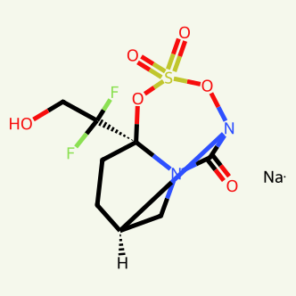 O=C1N2OS(=O)(=O)O[C@]3(C(F)(F)CO)CC[C@@H]2CN13.[Na]